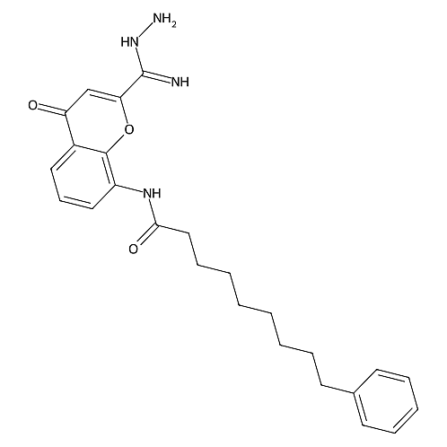 N=C(NN)c1cc(=O)c2cccc(NC(=O)CCCCCCCCc3ccccc3)c2o1